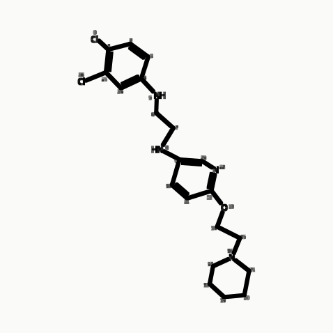 Clc1ccc(NCCNc2ccc(OCCN3CCCCC3)nc2)cc1Cl